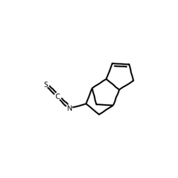 S=C=NC1CC2CC1C1C=CCC21